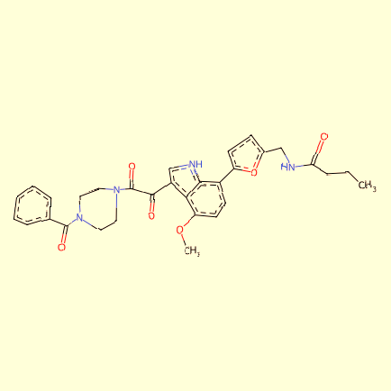 CCCC(=O)NCc1ccc(-c2ccc(OC)c3c(C(=O)C(=O)N4CCN(C(=O)c5ccccc5)CC4)c[nH]c23)o1